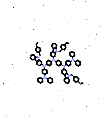 C=Cc1ccc(Cn2c3ccccc3c3ccc(N(c4ccc(N(c5ccccc5)c5ccccc5)cc4)c4ccc(N(c5ccc(N(c6ccc(N(c7ccccc7)c7ccccc7)cc6)c6ccc7c8ccccc8n(Cc8ccc(C=C)cc8)c7c6)cc5)c5ccc6c7ccccc7n(Cc7ccc(C=C)cc7)c6c5)cc4)cc32)cc1